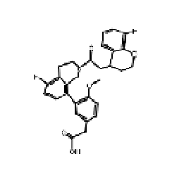 COc1ccc(CC(=O)O)cc1-c1ccc(F)c2c1CN(C(=O)CC1CCOc3c(F)cccc31)CC2